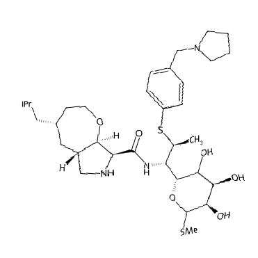 CSC1O[C@H]([C@H](NC(=O)[C@H]2NC[C@@H]3C[C@H](CC(C)C)CCO[C@H]32)[C@H](C)Sc2ccc(CN3CCCC3)cc2)C(O)[C@@H](O)[C@H]1O